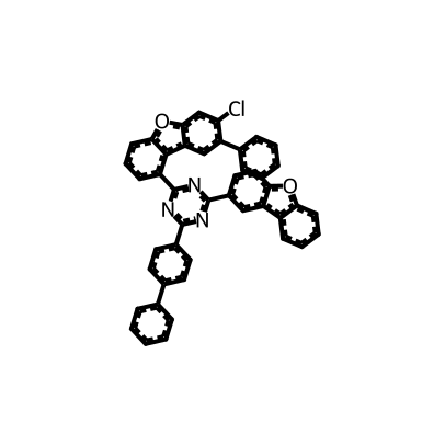 Clc1cc2oc3cccc(-c4nc(-c5ccc(-c6ccccc6)cc5)nc(-c5ccc6oc7ccccc7c6c5)n4)c3c2cc1-c1ccccc1